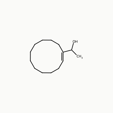 CC(O)/C1=C/CCCCCCCCCC1